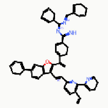 C=Cc1ccc(/C=C/c2c(C(=C)C3=CC=C(C(=N)/N=C(\N=C\C4=CCCC=C4)C4C=CC=CC4)CC3)oc3cc(C4=CC=CCC4)ccc23)nc1C1=CCCC=N1